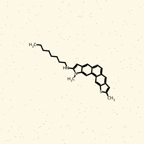 CCCCCCCCNc1cc2cc3ccc4cc5cc(C)sc5cc4c3cc2n1C